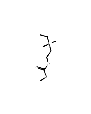 CC[N+](C)(C)CCOC(=O)OC